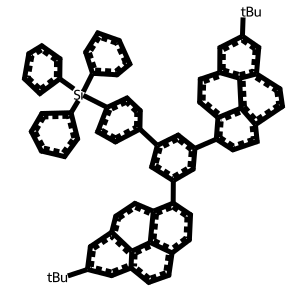 CC(C)(C)c1cc2ccc3ccc(-c4cc(-c5ccc([Si](c6ccccc6)(c6ccccc6)c6ccccc6)cc5)cc(-c5ccc6ccc7cc(C(C)(C)C)cc8ccc5c6c78)c4)c4ccc(c1)c2c34